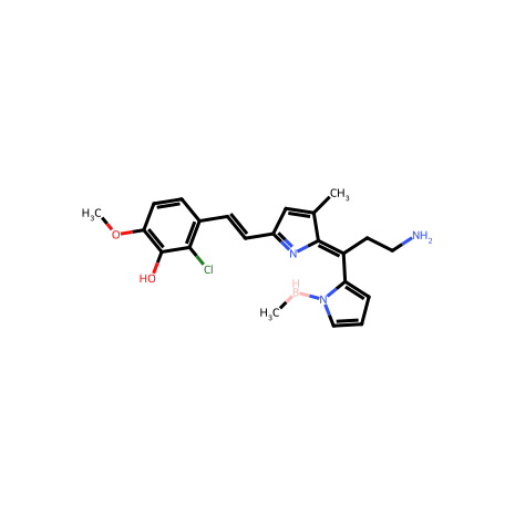 CBn1cccc1/C(CCN)=C1N=C(/C=C/c2ccc(OC)c(O)c2Cl)C=C\1C